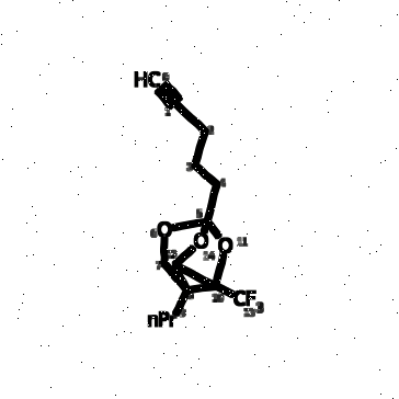 C#CCCCC12OCC(CCC)(CO1)C(C(F)(F)F)O2